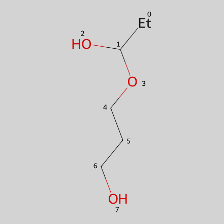 CCC(O)OCCCO